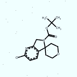 CC(C)(C)OC(=O)N1Cc2nc(Cl)ccc2C12CCOCC2